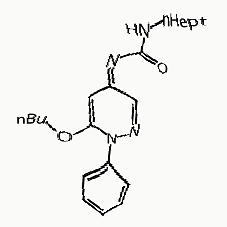 CCCCCCCNC(=O)/N=c1\cnn(-c2ccccc2)c(OCCCC)c1